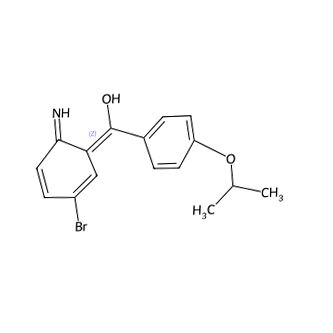 CC(C)Oc1ccc(/C(O)=C2\C=C(Br)C=CC2=N)cc1